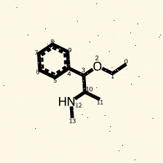 CCOC(c1ccccc1)C(C)NC